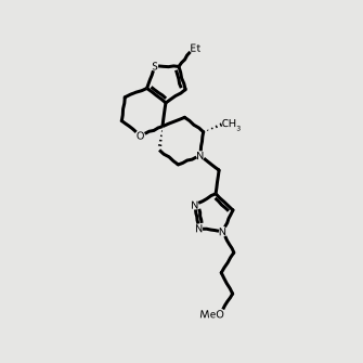 CCc1cc2c(s1)CCO[C@@]21CCN(Cc2cn(CCCOC)nn2)[C@@H](C)C1